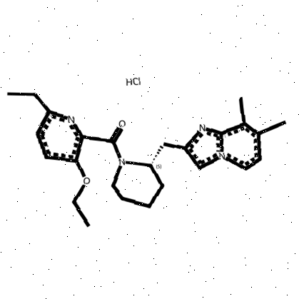 CCOc1ccc(CC)nc1C(=O)N1CCCC[C@H]1Cc1cn2ccc(C)c(C)c2n1.Cl